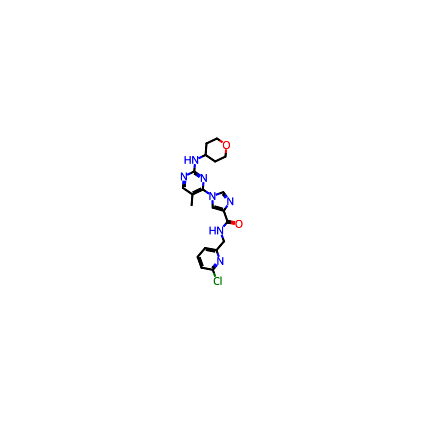 Cc1cnc(NC2CCOCC2)nc1-n1cnc(C(=O)NCc2cccc(Cl)n2)c1